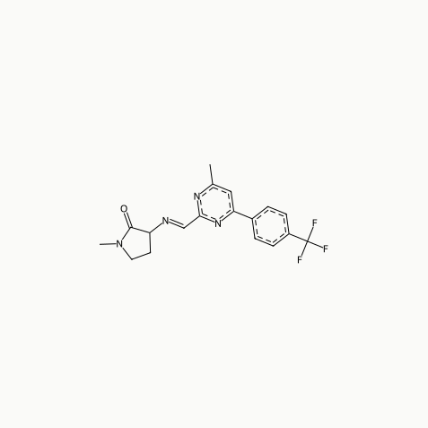 Cc1cc(-c2ccc(C(F)(F)F)cc2)nc(/C=N/C2CCN(C)C2=O)n1